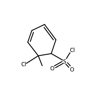 CC1(Cl)C=CC=CC1S(=O)(=O)Cl